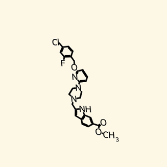 COC(=O)c1ccc2cc(CN3CCN(c4cccc(OCc5ccc(Cl)cc5F)n4)CC3)[nH]c2c1